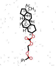 CC(=O)[C@H]1CC[C@H]2[C@@H]3CC[C@H]4C[C@H](OC(=O)OCCOC(=O)C(C)C)CC[C@]4(C)[C@H]3CC[C@]12C